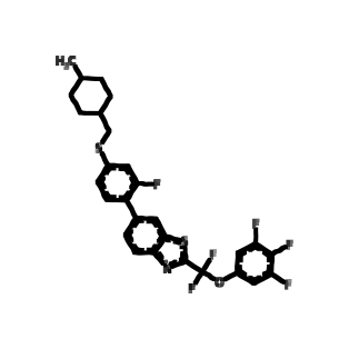 CC1CCC(CSc2ccc(-c3ccc4nc(C(F)(F)Oc5cc(F)c(F)c(F)c5)sc4c3)c(F)c2)CC1